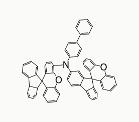 C1=CC2c3ccccc3C3(c4ccccc4Oc4c(N(c5ccc(-c6ccccc6)cc5)c5ccc6c(c5)C5(c7ccccc7Oc7ccccc75)c5ccccc5-6)cccc43)C2C=C1